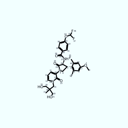 COc1cc(F)c([C@@H]2CN(c3cccn(CC(C)(CO)CO)c3=O)C(=O)[C@H]2NC(=O)c2ccc(OC(F)F)cc2)c(F)c1